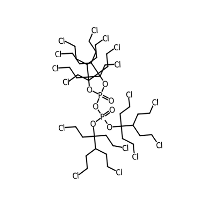 O=P(OC(CCCl)(CCCl)C(CCCl)CCCl)(OC(CCCl)(CCCl)C(CCCl)CCCl)OP(=O)(OC(CCCl)(CCCl)C(CCCl)CCCl)OC(CCCl)(CCCl)C(CCCl)CCCl